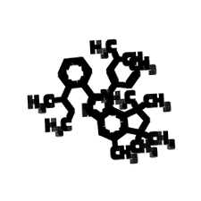 C/C=C\C(=C/C(C)C)n1c(-c2ccccc2C(C)CC)nc2cc(C)c3c(c21)C(C)(C)CC3(C)C